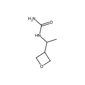 CC(NC(N)=O)C1COC1